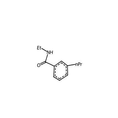 CCCc1cccc(C(=O)NCC)c1